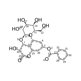 O=C(Oc1ccc2c(O[C@@H]3O[C@H](CO)[C@H](O)[C@H](O)[C@H]3O)c(O)c(=O)oc2c1)c1ccccc1